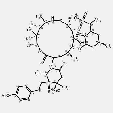 CC[C@H]1OC(=O)[C@H](C)[C@@H](O[C@H]2C[C@@](C)(OC)[C@](O)(CNc3ccc(OC)cc3)[C@H](C)O2)[C@H](C)[C@@H](O[C@@H]2O[C@H](C)C[C@H](N(C)S(N)(=O)=O)[C@H]2O)[C@](C)(O)C[C@@H](C)CN[C@H](C)[C@@H](O)[C@]1(C)O